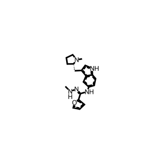 CNN=C(Nc1ccc2[nH]cc(C[C@@H]3CCCN3C)c2c1)c1ccco1